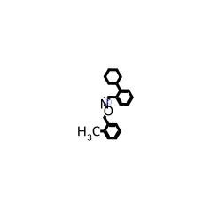 Cc1ccccc1CO/N=[C]\c1ccccc1C1CCCCC1